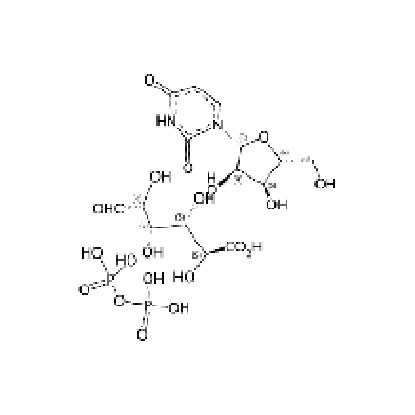 O=C[C@H](O)[C@@H](O)[C@H](O)[C@H](O)C(=O)O.O=P(O)(O)OP(=O)(O)O.O=c1ccn([C@@H]2O[C@H](CO)[C@@H](O)[C@H]2O)c(=O)[nH]1